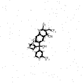 CCc1nc2ccc(C(O)(c3ccnc(C(F)(F)F)c3)c3cncn3C)cc2c(C#N)c1CC(F)(F)F